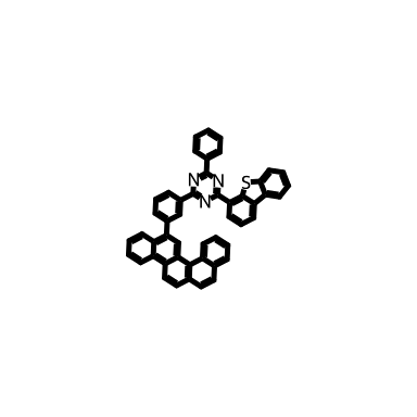 c1ccc(-c2nc(-c3cccc(-c4cc5c(ccc6ccc7ccccc7c65)c5ccccc45)c3)nc(-c3cccc4c3sc3ccccc34)n2)cc1